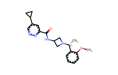 COc1ccccc1[C@@H](C)N1CC(NC(=O)c2cc(C3CC3)cnn2)C1